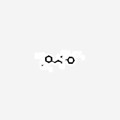 C=c1s/c(=C\c2ccc(O)c(OC)c2)c(=O)n1-c1cccc(C)c1